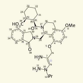 COc1ccc(OC/C(N)=C/N(N)C(C)C)c2c1CCN(C(=O)[C@@H]1CCCC[C@@H]1C(=O)O)[C@@H]2CN1Cc2ccccc2C1=O